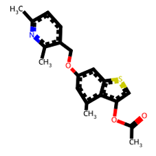 CC(=O)Oc1csc2cc(OCc3ccc(C)nc3C)cc(C)c12